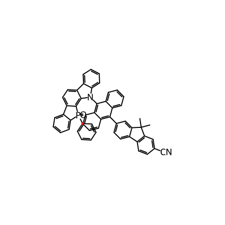 CC1(C)c2cc(C#N)ccc2-c2ccc(-c3c4ccccc4c(-n4c5ccccc5c5ccc6c(c54)P(=O)(c4ccccc4)c4ccccc4-6)c4ccccc34)cc21